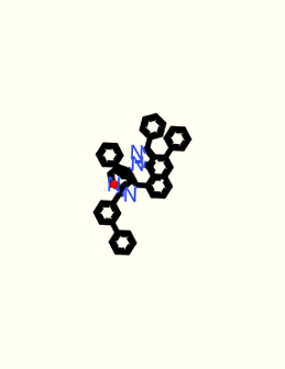 c1ccc(-c2cccc(-c3nc(-c4ccccc4)cc(-c4cccc5cc(-c6ccccc6)c6c(-c7ccccc7)nn(-c7ccccc7)c6c45)n3)c2)cc1